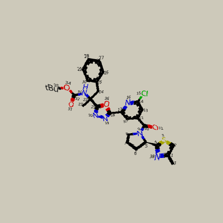 Cc1csc([C@H]2CCCN2C(=O)c2cc(Cl)nc(-c3nnc(C(C)(Cc4ccccc4)NC(=O)OC(C)(C)C)o3)c2)n1